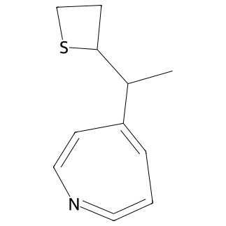 CC(C1=CC=C=NC=C1)C1CCS1